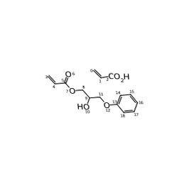 C=CC(=O)O.C=CC(=O)OCC(O)COc1ccccc1